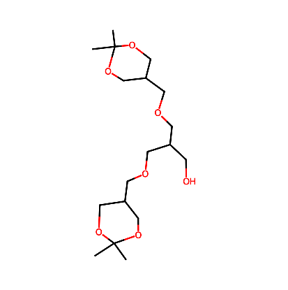 CC1(C)OCC(COCC(CO)COCC2COC(C)(C)OC2)CO1